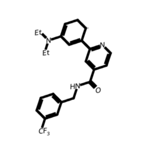 CCN(CC)C1=CC[CH]C(c2cc(C(=O)NCc3cccc(C(F)(F)F)c3)ccn2)=C1